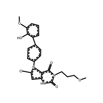 COCCCn1c(=O)[nH]c2cc(Cl)n(-c3ccc(-c4cccc(OC)c4O)cc3)c2c1=O